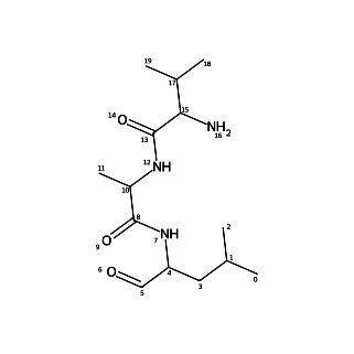 CC(C)CC(C=O)NC(=O)C(C)NC(=O)C(N)C(C)C